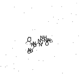 Cc1ccccc1Cn1nc(-c2ncc(NC(=O)C3(C)CCC3)c(N)n2)cc1-c1ccon1